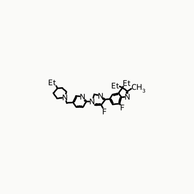 CCC1CCN(Cc2ccc(N3C=C(F)C(c4cc(F)c5c(c4)C(CC)(CC)C(C)=N5)=NC3)nc2)CC1